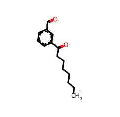 CCCCCCCC(=O)c1cccc(C=O)c1